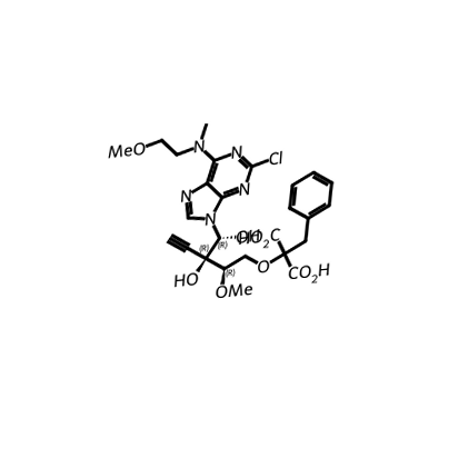 C#C[C@@](O)([C@@H](COC(Cc1ccccc1)(C(=O)O)C(=O)O)OC)[C@@H](O)n1cnc2c(N(C)CCOC)nc(Cl)nc21